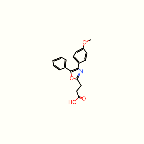 COc1ccc(-c2nc(CCC(=O)O)oc2-c2ccccc2)cc1